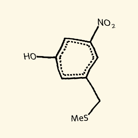 CSCc1cc(O)cc([N+](=O)[O-])c1